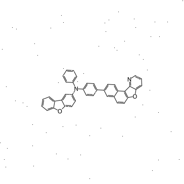 c1ccc(N(c2ccc(-c3ccc4c(ccc5oc6cccnc6c54)c3)cc2)c2ccc3oc4ccccc4c3c2)cc1